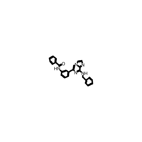 O=C(Nc1cccc(-c2cn3ccnc3c(NCc3ccccc3)n2)c1)c1ccccc1